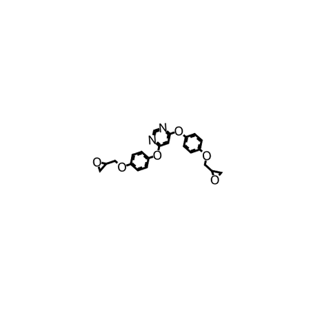 c1nc(Oc2ccc(OCC3CO3)cc2)cc(Oc2ccc(OCC3CO3)cc2)n1